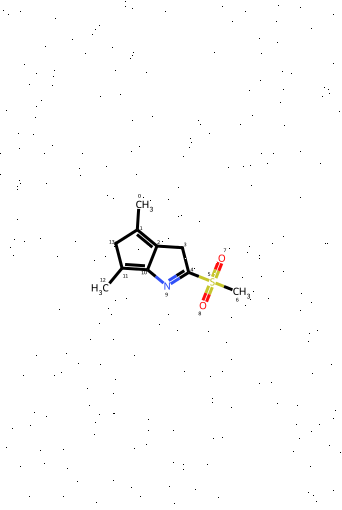 CC1=C2CC(S(C)(=O)=O)=NC2=C(C)C1